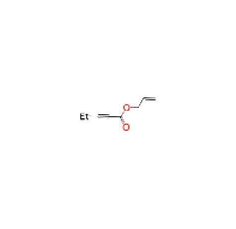 C=CCOC(=O)C#CCC